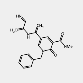 C=C(C=N)NC(=C)c1cc(C(=O)NC)c(=O)n(Cc2ccccc2)c1